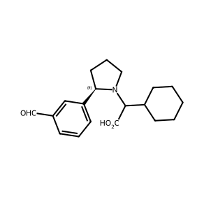 O=Cc1cccc([C@H]2CCCN2C(C(=O)O)C2CCCCC2)c1